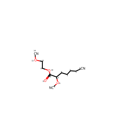 N#CCCCCC(OC#N)C(=O)OCCOC#N